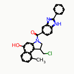 Cc1cccc2c(O)cc3c(c12)C(CCl)CN3C(=O)c1ccc2[nH]c(-c3ccccc3)nc2c1